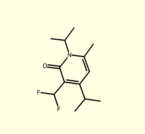 Cc1cc(C(C)C)c(C(F)F)c(=O)n1C(C)C